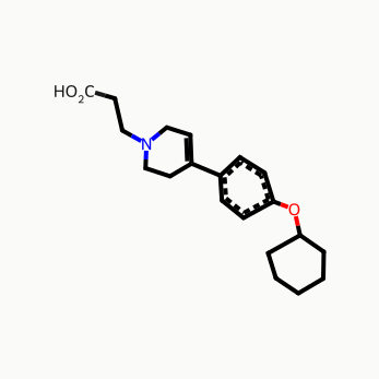 O=C(O)CCN1CC=C(c2ccc(OC3CCCCC3)cc2)CC1